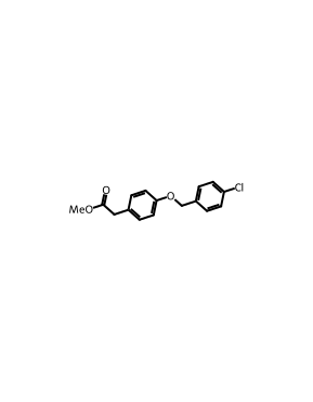 COC(=O)Cc1ccc(OCc2ccc(Cl)cc2)cc1